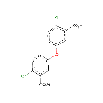 O=C(O)c1cc(Oc2ccc(Cl)c(C(=O)O)c2)ccc1Cl